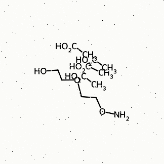 CC(=O)O.CC(=O)O.CC(=O)O.CC(=O)O.NOCCOCCO